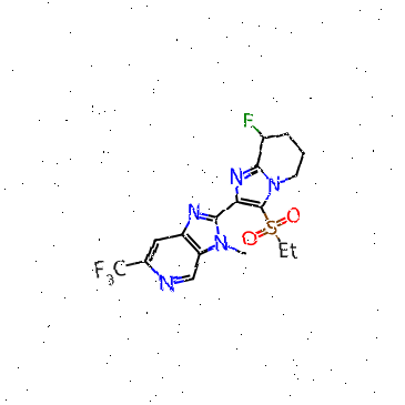 CCS(=O)(=O)c1c(-c2nc3cc(C(F)(F)F)ncc3n2C)nc2n1CCCC2F